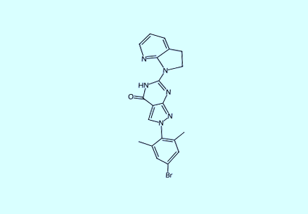 Cc1cc(Br)cc(C)c1-n1cc2c(=O)[nH]c(N3CCc4cccnc43)nc2n1